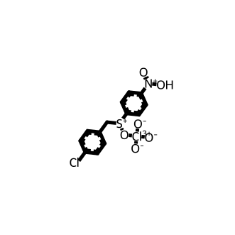 O=[N+](O)c1ccc([S+](Cc2ccc(Cl)cc2)O[Cl+3]([O-])([O-])[O-])cc1